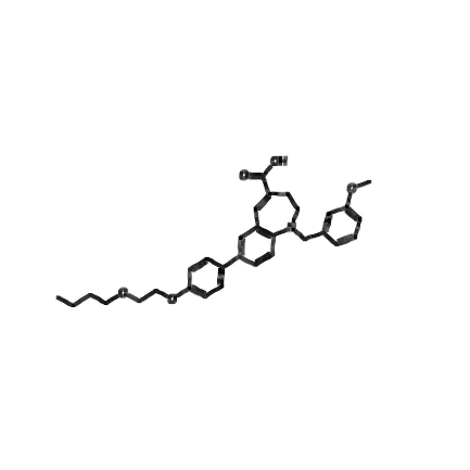 CCCCOCCOc1ccc(-c2ccc3c(c2)C=C(C(=O)O)CCN3Cc2cccc(OC)c2)cc1